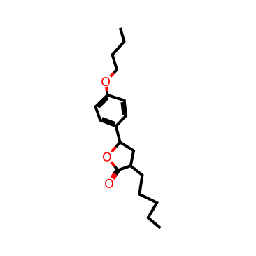 CCCCCC1CC(c2ccc(OCCCC)cc2)OC1=O